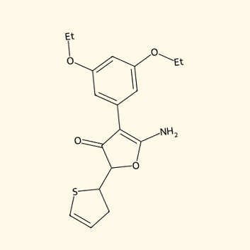 CCOc1cc(OCC)cc(C2=C(N)OC(C3CC=CS3)C2=O)c1